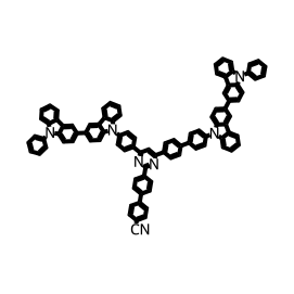 N#Cc1ccc(-c2ccc(-c3nc(-c4ccc(-c5ccc(-n6c7ccccc7c7cc(-c8ccc9c(c8)c8ccccc8n9-c8ccccc8)ccc76)cc5)cc4)cc(-c4ccc(-n5c6ccccc6c6cc(-c7ccc8c(c7)c7ccccc7n8-c7ccccc7)ccc65)cc4)n3)cc2)cc1